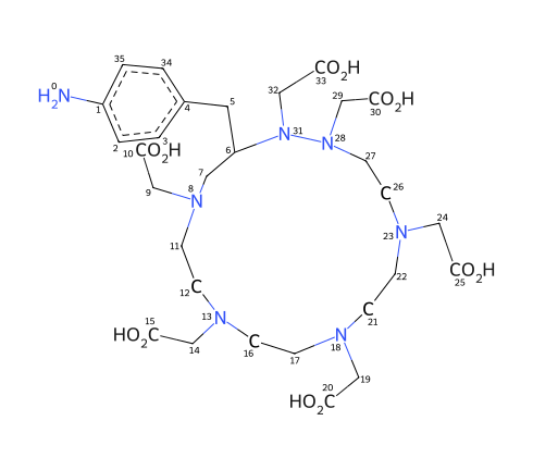 Nc1ccc(CC2CN(CC(=O)O)CCN(CC(=O)O)CCN(CC(=O)O)CCN(CC(=O)O)CCN(CC(=O)O)N2CC(=O)O)cc1